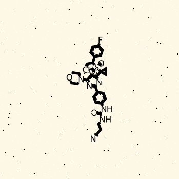 C=CC(c1ccc(F)cc1)S(=O)(=O)C1(c2cc(N3CCOCC3)nc(-c3ccc(NC(=O)NCCC#N)cc3)n2)CC1